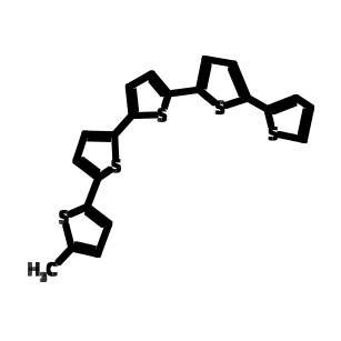 Cc1ccc(-c2ccc(-c3ccc(-c4ccc(-c5cccs5)s4)s3)s2)s1